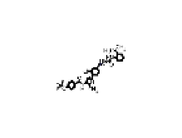 Cc1nn(-c2ccc(/C=N/NC(=O)Nc3ccccc3C(C)C)cc2Cl)cc1NC(=O)c1ccc(OC(F)(F)F)cc1